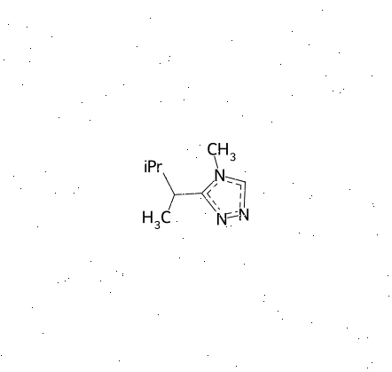 CC(C)C(C)c1nncn1C